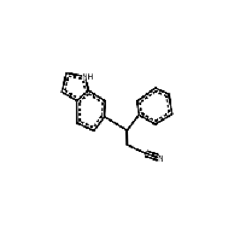 N#CCC(c1ccccc1)c1ccc2cc[nH]c2c1